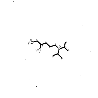 CC(C)N(CCCC(O)CO)C(C)C